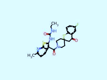 CCNC(=O)Nc1sc2nc(C)ccc2c1C(=O)N1CCC2(CC1)CC(=O)c1cc(F)ccc1S2